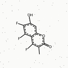 Cc1c(F)c2c(F)c(F)c(O)cc2oc1=O